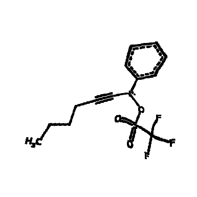 CCCCC#C[I+](OS(=O)(=O)C(F)(F)F)c1ccccc1